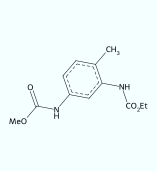 CCOC(=O)Nc1cc(NC(=O)OC)ccc1C